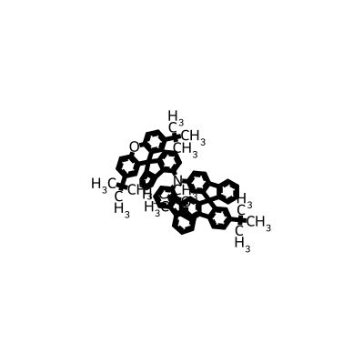 CC(C)(C)c1ccc2c(c1)C1(c3cc(C(C)(C)C)ccc3O2)c2ccccc2-c2c(N(c3ccc4c(c3)C3(c5ccccc5-4)c4cc(C(C)(C)C)ccc4-c4ccc(C(C)(C)C)cc43)c3cccc4c3oc3ccccc34)cccc21